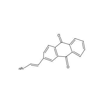 CCCC=Cc1ccc2c(c1)C(=O)c1ccccc1C2=O